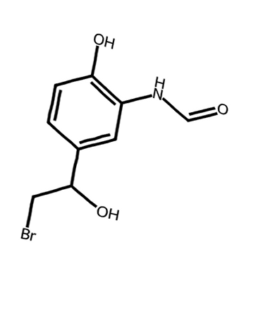 O=CNc1cc(C(O)CBr)ccc1O